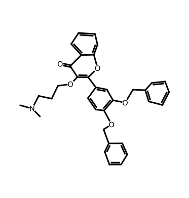 CN(C)CCCOc1c(-c2ccc(OCc3ccccc3)c(OCc3ccccc3)c2)oc2ccccc2c1=O